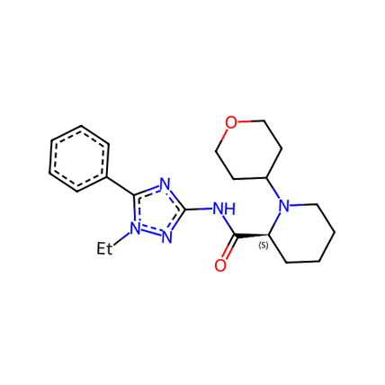 CCn1nc(NC(=O)[C@@H]2CCCCN2C2CCOCC2)nc1-c1ccccc1